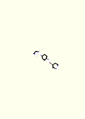 O=C(Nc1ccc(-n2nc(C(F)(F)F)cc2C(F)(F)F)cc1)c1c(F)cncc1F